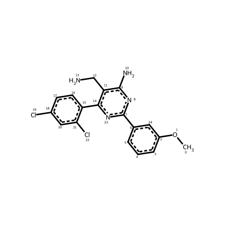 COc1cccc(-c2nc(N)c(CN)c(-c3ccc(Cl)cc3Cl)n2)c1